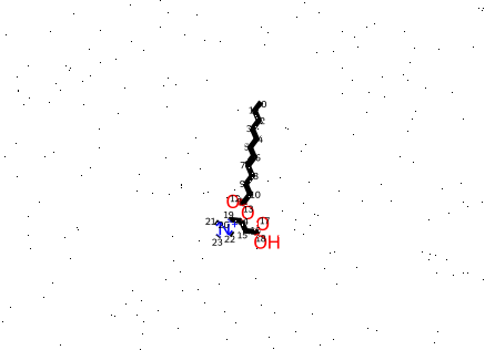 CCCCCC/C=C/CCCC(=O)OC(CC(=O)O)C[N+](C)(C)C